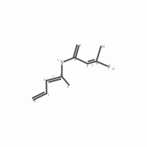 C=C/C=C(\C)SC(=C)/C=C(\C)F